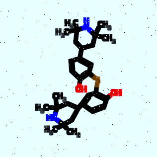 CC1(C)CC(c2ccc(O)c(Sc3cc(C4CC(C)(C)NC(C)(C)C4)ccc3O)c2)CC(C)(C)N1